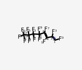 F/[C]=C(\F)C(F)=C(F)C(F)(F)C(F)(F)C(F)(F)C(F)(F)F